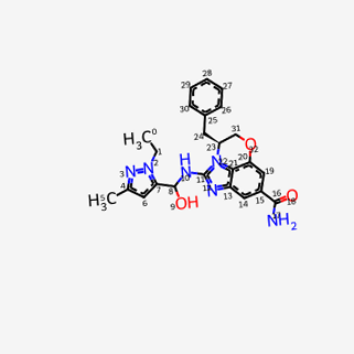 CCn1nc(C)cc1C(O)Nc1nc2cc(C(N)=O)cc3c2n1[C@@H](Cc1ccccc1)CO3